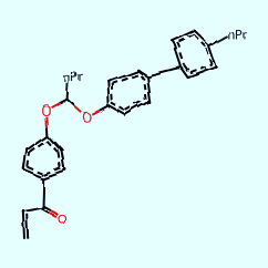 C=CC(=O)c1ccc(OC(CCC)Oc2ccc(-c3ccc(CCC)cc3)cc2)cc1